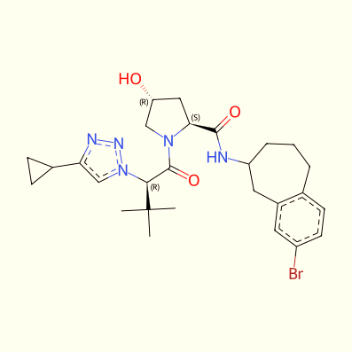 CC(C)(C)[C@H](C(=O)N1C[C@H](O)C[C@H]1C(=O)NC1CCCc2ccc(Br)cc2C1)n1cc(C2CC2)nn1